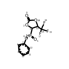 O=C1OC([PH](=O)Oc2ccccc2)C(C(F)(F)F)O1